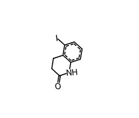 O=C1CCc2c(I)cccc2N1